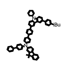 CCC(C)c1ccc(-c2ccc3c(c2)c2cc(-c4ccc(-c5ccc(N(c6ccc(-c7ccccc7)cc6)c6ccc7c(c6)C(C)(C)c6ccccc6-7)cc5)cc4)ccc2n3C2C=CC=CC2)cc1